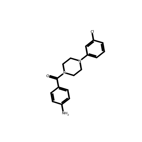 Nc1ccc(C(=O)N2CCN(c3cccc(Cl)c3)CC2)cc1